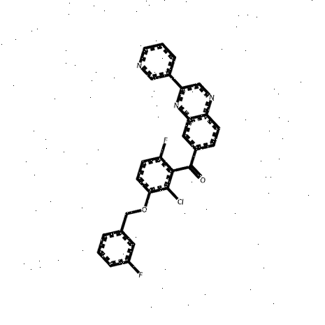 O=C(c1ccc2ncc(-c3cccnc3)nc2c1)c1c(F)ccc(OCc2cccc(F)c2)c1Cl